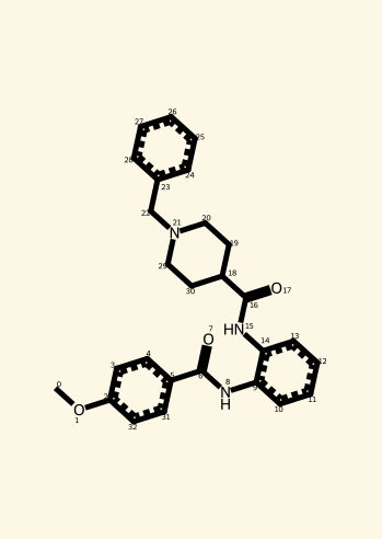 COc1ccc(C(=O)Nc2ccccc2NC(=O)C2CCN(Cc3ccccc3)CC2)cc1